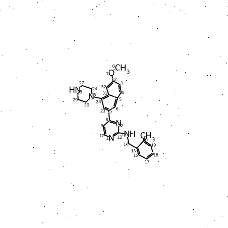 COc1ccc2cc(-c3ccnc(NCc4ccccc4C)n3)cc(N3CCNCC3)c2c1